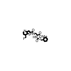 COC(=O)C(CNC(=O)c1cc2nccc(CF)c2s1)NC(=O)OCc1ccccc1